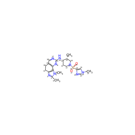 Cc1nc2c(n1C)-c1nc(N[C@H]3CCN(S(=O)(=O)c4cn(C)cn4)C[C@H]3C)ncc1CC2